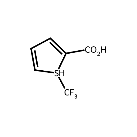 O=C(O)C1=CC=C[SH]1C(F)(F)F